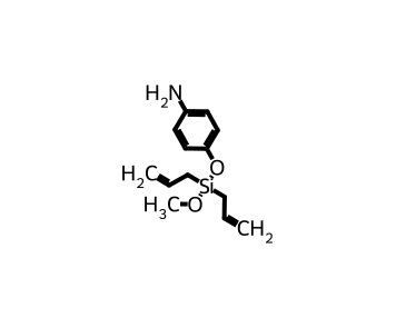 C=CC[Si](CC=C)(OC)Oc1ccc(N)cc1